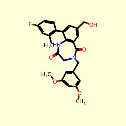 COc1cc(CN2CC(=O)Nc3c(cc(CO)cc3-c3ccc(F)cc3C)C2=O)cc(OC)c1